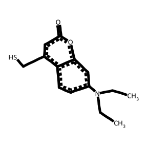 CCN(CC)c1ccc2c(CS)cc(=O)oc2c1